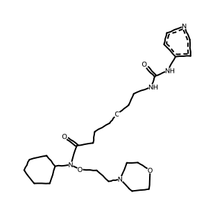 O=C(NCCCCCCC(=O)N(OCCN1CCOCC1)C1CCCCC1)Nc1ccncc1